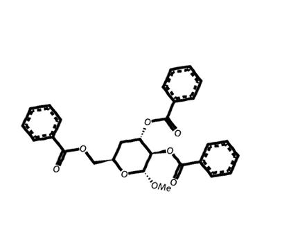 CO[C@@H]1O[C@@H](COC(=O)c2ccccc2)C[C@H](OC(=O)c2ccccc2)[C@H]1OC(=O)c1ccccc1